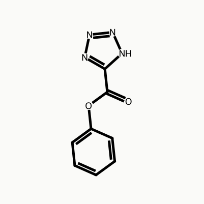 O=C(Oc1ccccc1)c1nnn[nH]1